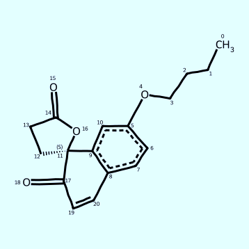 CCCCOc1ccc2c(c1)[C@@]1(CCC(=O)O1)C(=O)C=C2